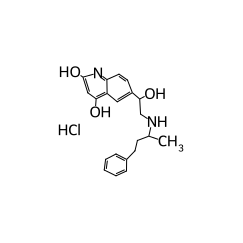 CC(CCc1ccccc1)NCC(O)c1ccc2nc(O)cc(O)c2c1.Cl